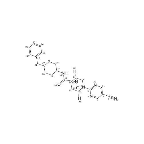 N#Cc1cnc(N2C[C@@H]3CC[C@H]2CN3C(=O)NC2CCN(Cc3ccccc3)CC2)nc1